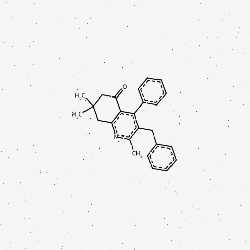 Cc1nc2c(c(-c3ccccc3)c1Cc1ccccc1)C(=O)CC(C)(C)C2